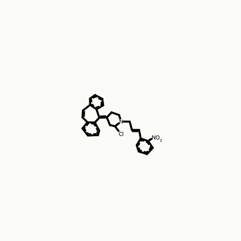 O=[N+]([O-])c1ccccc1C=CCN1CCC(=C2c3ccccc3C=Cc3ccccc32)CC1Cl